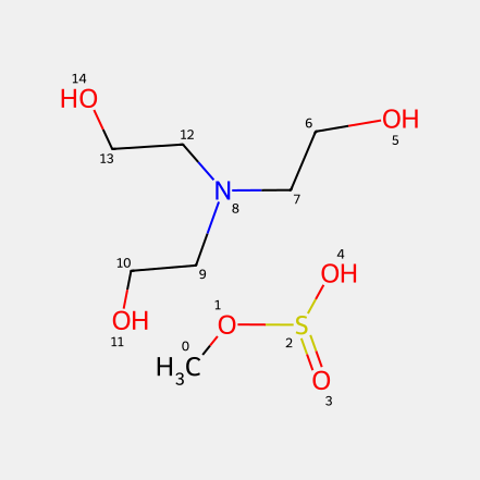 COS(=O)O.OCCN(CCO)CCO